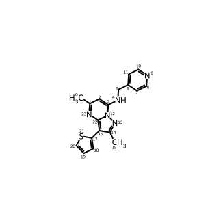 Cc1cc(NCc2ccncc2)n2nc(C)c(-c3cccs3)c2n1